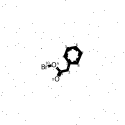 O=C(Cc1ccccc1)OBr